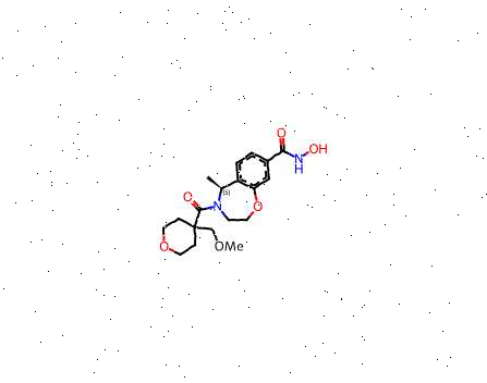 COCC1(C(=O)N2CCOc3cc(C(=O)NO)ccc3[C@@H]2C)CCOCC1